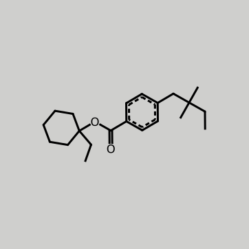 CCC(C)(C)Cc1ccc(C(=O)OC2(CC)CCCCC2)cc1